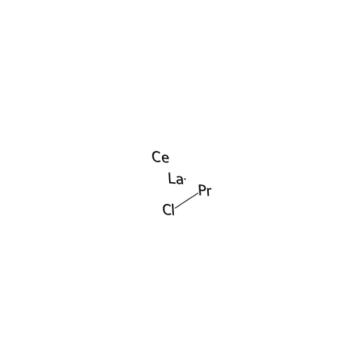 [Ce].[Cl][Pr].[La]